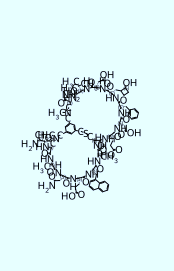 C[C@H](N)C(=O)N[C@H]1CN(C)Cc2cc3cc(c2)CN(C)C[C@@H](C(N)=O)NC(O)[C@H](C(C)(C)C)NC(=O)[C@H](CC(=O)O)NC(=O)[C@H](CC2CC[C@@H]2O)NC(=O)[C@H](Cc2ccccc2)NC(=O)[C@H](CC(=O)O)NC(=O)[C@H](CCC(=O)O)NC(=O)[C@@H](CSC3)NC(=O)[C@@H](C)NC(=O)[C@H](Cc2cccc3ccccc23)NC(=O)[C@H](CCC(=O)O)NC(=O)[C@H](CC(N)=O)NC(=O)[C@@H](C)NC1=O